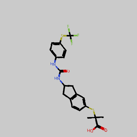 CC(C)(Sc1ccc2c(c1)CC(NC(=O)Nc1ccc(SC(F)(F)F)cc1)C2)C(=O)O